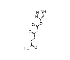 O=C(O)CCC(=O)CC(=O)Oc1c[nH]nn1